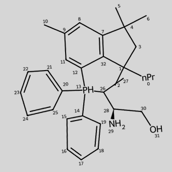 CCCC1(C)CC(C)(C)c2cc(C)cc([PH](c3ccccc3)(c3ccccc3)C(C)[C@H](N)CO)c21